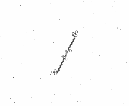 O=C(CCCCCCCCC1COC(=O)O1)NCCCNC(=O)CCCCCCCCC1COC(=O)O1